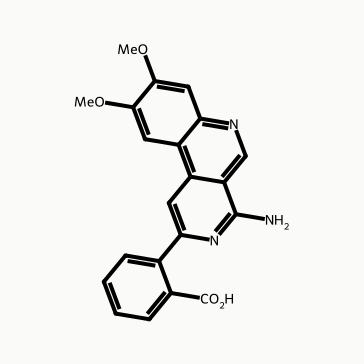 COc1cc2ncc3c(N)nc(-c4ccccc4C(=O)O)cc3c2cc1OC